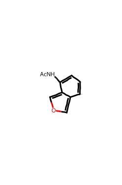 CC(=O)Nc1cc[c]c2cocc12